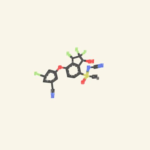 CS(=O)(=NC#N)c1ccc(Oc2cc(F)cc(C#N)c2)c2c1[C@H](O)C(F)(F)[C@@H]2F